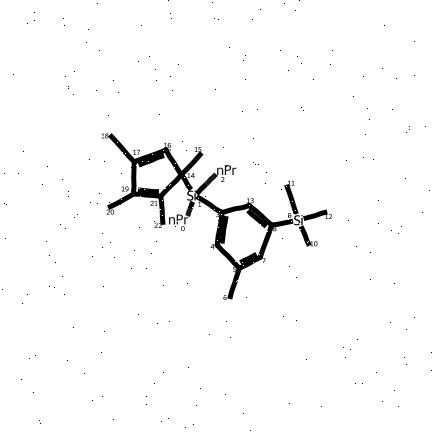 CCC[Si](CCC)(c1cc(C)cc([Si](C)(C)C)c1)C1(C)[C]=C(C)C(C)=C1C